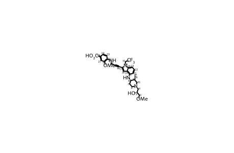 COC[C@H](O)CN1CC[C@H](Nc2cccc3c2cc(C#CCNc2ccc(C(=O)O)cc2OC)n3CC(F)(F)F)[C@@H](F)C1